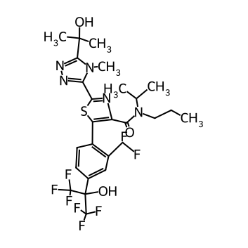 CCCN(C(=O)c1nc(-c2nnc(C(C)(C)O)n2C)sc1-c1ccc(C(O)(C(F)(F)F)C(F)(F)F)cc1C(F)F)C(C)C